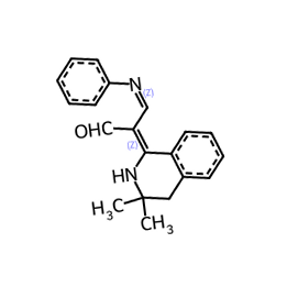 CC1(C)Cc2ccccc2/C(=C(C=O)\C=N/c2ccccc2)N1